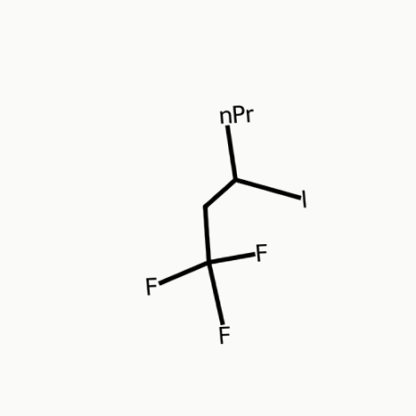 CCCC(I)CC(F)(F)F